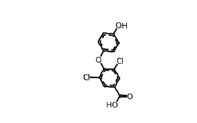 O=C(O)c1cc(Cl)c(Oc2ccc(O)cc2)c(Cl)c1